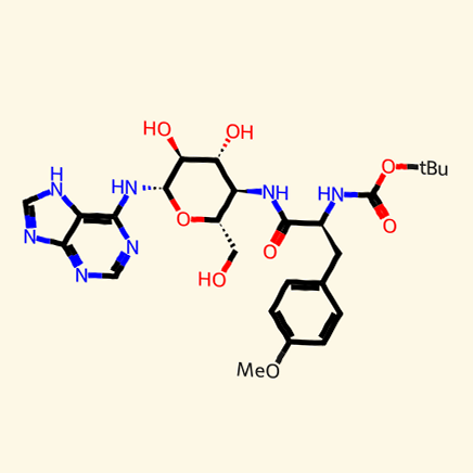 COc1ccc(C[C@H](NC(=O)OC(C)(C)C)C(=O)N[C@@H]2[C@@H](O)[C@H](O)[C@@H](Nc3ncnc4nc[nH]c34)O[C@H]2CO)cc1